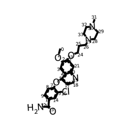 COc1cc2c(Oc3ccc(C(N)=O)cc3Cl)ccnc2cc1OCCCN1CCN(C)CC1